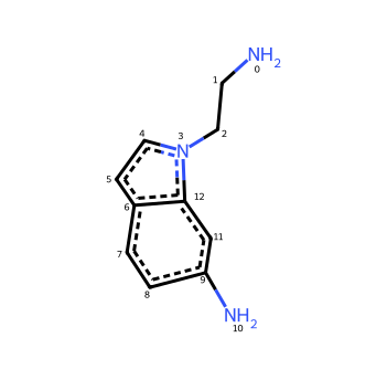 NCCn1ccc2ccc(N)cc21